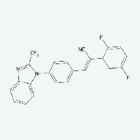 N#C/C(=C\c1ccc(-n2c(C(F)(F)F)nc3ccccc32)cc1)C1CC(F)=CC=C1F